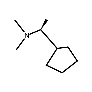 C[C@@H](C1CCCC1)N(C)C